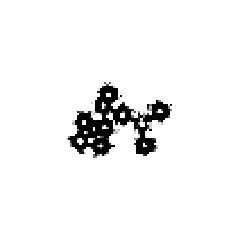 c1ccc(-c2nc(-c3ccccc3)nc(-c3ccc(-c4c(-c5cccc6c5-c5ccccc5C65c6ccccc6-c6ccccc65)ccc5ccccc45)cc3)n2)cc1